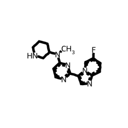 CN(c1ccnc(-c2cnc3ccc(F)cn23)n1)C1CCCNC1